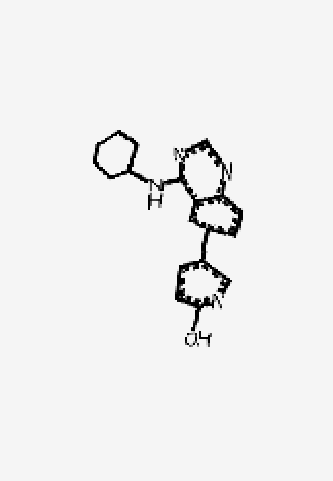 Oc1ccc(-c2ccc3ncnc(NC4CCCCC4)c3c2)cn1